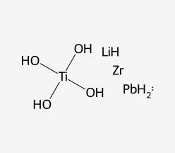 [LiH].[OH][Ti]([OH])([OH])[OH].[PbH2].[Zr]